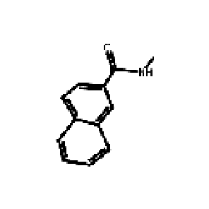 CNC(=O)c1ccc2[c]cccc2c1